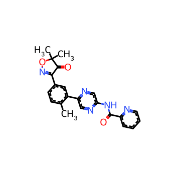 Cc1ccc(C2=NOC(C)(C)C2=O)cc1-c1cnc(NC(=O)c2ccccn2)cn1